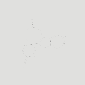 CC(=O)N1CCC2(C=CC(=O)C=C2)c2sc3ccccc3c2C1